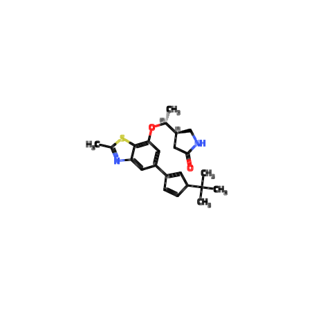 Cc1nc2cc(C3=CC(C(C)(C)C)C=C3)cc(O[C@H](C)[C@H]3CNC(=O)C3)c2s1